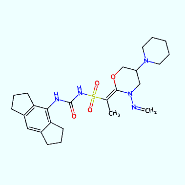 C=NN1CC(N2CCCCC2)CO/C1=C(/C)S(=O)(=O)NC(=O)Nc1c2c(cc3c1CCC3)CCC2